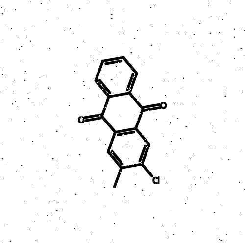 Cc1cc2c(cc1Cl)C(=O)c1ccccc1C2=O